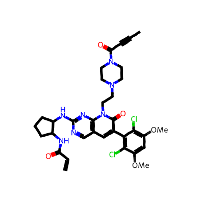 C=CC(=O)NC1CCCC1Nc1ncc2cc(-c3c(Cl)c(OC)cc(OC)c3Cl)c(=O)n(CCN3CCN(C(=O)C#CC)CC3)c2n1